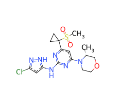 C[C@@H]1COCCN1c1cc(C2(S(C)(=O)=O)CC2)nc(Nc2cc(Cl)n[nH]2)n1